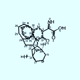 N=C(C(=O)O)c1nc2ccccc2n([C@@H]2C[C@@H]3CCC[C@H]2N3C2CC3CCCCC(C3)C2)c1=O